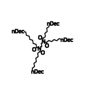 CCCCCCCCCCCCCCCCCC(=O)N(CCN(C(=O)CCCCCCCCCCCCCCC)C(=O)CCCCCCCCCCCCCCC)C(=O)CCCCCCCCCCCCCCCCC